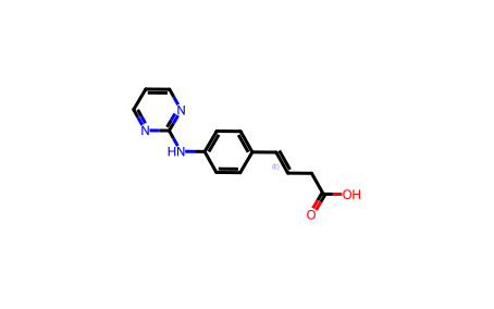 O=C(O)C/C=C/c1ccc(Nc2ncccn2)cc1